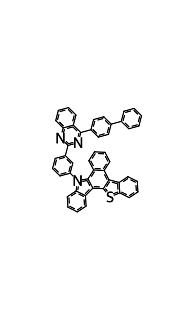 c1ccc(-c2ccc(-c3nc(-c4cccc(-n5c6ccccc6c6c7sc8ccccc8c7c7ccccc7c65)c4)nc4ccccc34)cc2)cc1